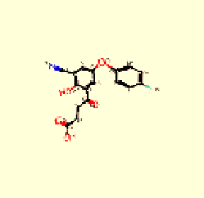 N#Cc1cc(Oc2ccc(F)cc2)cc(C(=O)CCC(=O)O)c1O